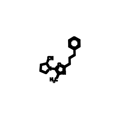 Cc1nc(CCCc2ccccc2)oc1N1CCC[C@H]1C#N